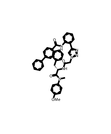 COc1ccc(N(C)C(=O)[C@H](Cc2ccccc2)NC(=O)Cn2cc(-c3ccccc3NC(=O)c3ccc(-c4ccccc4)cc3)nn2)cc1